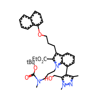 CCOC(=O)c1c(CCCOc2cccc3ccccc23)c2cccc(-c3c(C)nn(C)c3CO)c2n1CCCN(C)C(=O)OC(C)(C)C